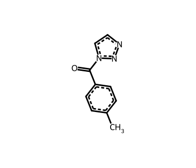 Cc1ccc(C(=O)n2ccnn2)cc1